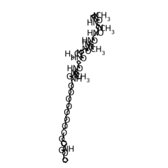 Cn1cc(NC(=O)c2nccn2C)cc1C(=O)NCCC(=O)Nc1cn(C)c(C(=O)Nc2cc(C(=O)NC3CC(C(=O)Nc4cn(C)c(C(=O)NCCOCCOCCOCCOCCOCCOCCOCCOCCOc5ccc(NC(=O)OCc6ccccc6)cc5)n4)C3)n(C)c2)n1